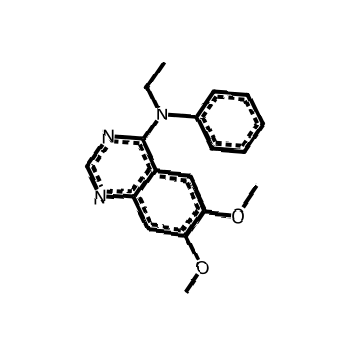 CCN(c1ccccc1)c1ncnc2cc(OC)c(OC)cc12